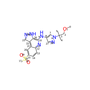 COCC(C)(C)n1cc(Nc2nc3ccc(S(C)(=O)=O)cc3c3cn[nH]c23)cn1